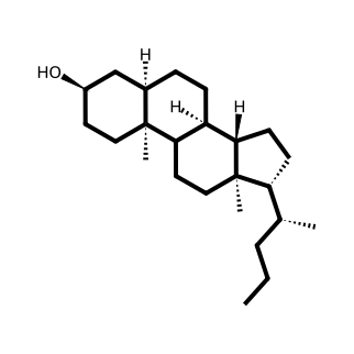 CCC[C@@H](C)[C@H]1CC[C@H]2[C@@H]3CC[C@@H]4C[C@H](O)CC[C@]4(C)C3CC[C@]12C